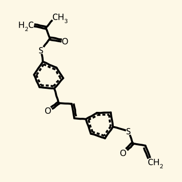 C=CC(=O)Sc1ccc(/C=C/C(=O)c2ccc(SC(=O)C(=C)C)cc2)cc1